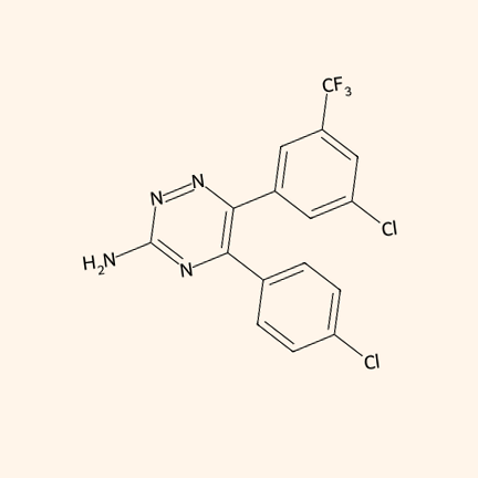 Nc1nnc(-c2cc(Cl)cc(C(F)(F)F)c2)c(-c2ccc(Cl)cc2)n1